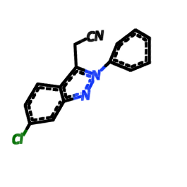 N#CCc1c2ccc(Cl)cc2nn1-c1ccccc1